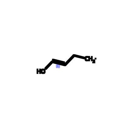 [CH2]C/C=C/O